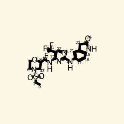 CCS(=O)(=O)N1CCOC(CNc2nc(Nc3ccc4c(c3)CC(=O)N4)ncc2C(F)(F)F)C1